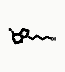 OCCCCn1ccc2c(Br)cccc21